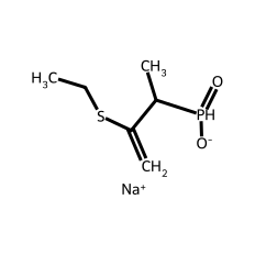 C=C(SCC)C(C)[PH](=O)[O-].[Na+]